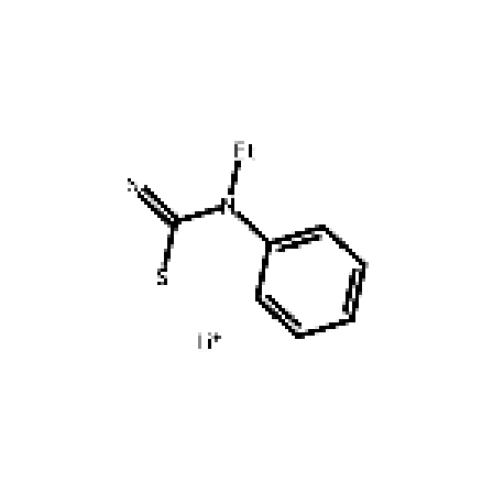 CCN(C(=S)[S-])c1ccccc1.[Li+]